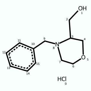 Cl.OCC1COCCN1Cc1ccccc1